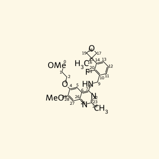 COCCOc1cc2c(NCc3cccc(C4(C)COC4)c3F)nc(C)nc2cc1OC